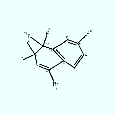 CC1(C)N=C(Br)c2ccc(F)cc2C1(F)F